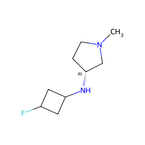 CN1CC[C@@H](NC2CC(F)C2)C1